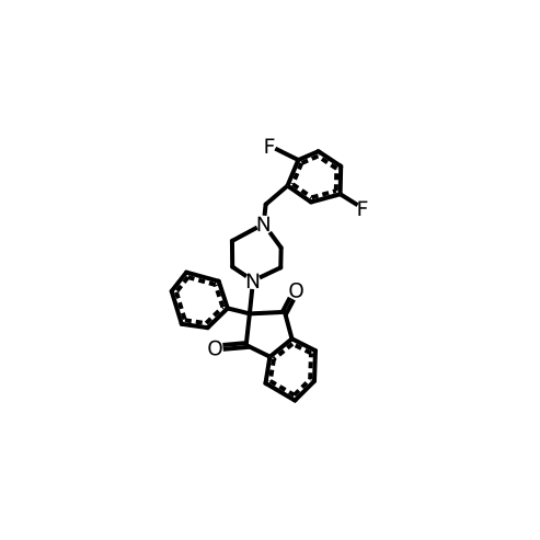 O=C1c2ccccc2C(=O)C1(c1ccccc1)N1CCN(Cc2cc(F)ccc2F)CC1